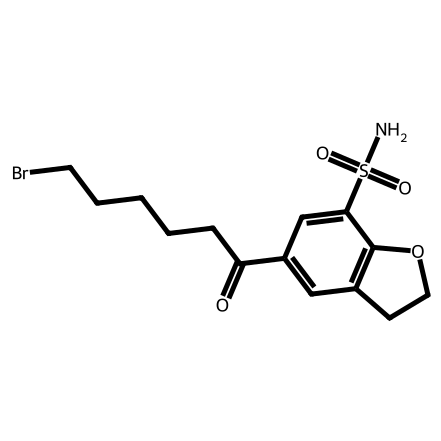 NS(=O)(=O)c1cc(C(=O)CCCCCBr)cc2c1OCC2